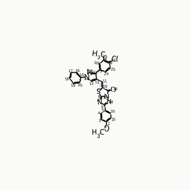 COc1ccc(-c2nc3s/c(=C\c4cn(-c5ccccc5)nc4-c4ccc(Cl)c(C)c4)c(=O)n3n2)cc1